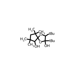 CC(C)(C)C1OC2(OC1(O)C(C)(C)C)C(O)C(C)(C)CC2(C)C